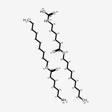 CCCCCCCCCCOC(=O)CCCCCN.CCCCCCCCCCOC(=O)CCCCCNC(=O)O